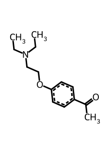 CCN(CC)CCOc1ccc(C(C)=O)cc1